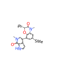 CSc1cc(-c2cn(C)c(=O)c3[nH]ccc23)c2c(c1)N(C)C(=O)C(C(C)C)O2